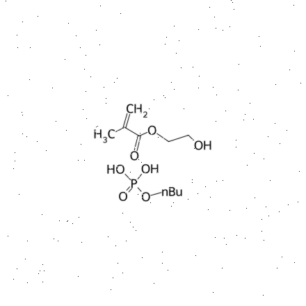 C=C(C)C(=O)OCCO.CCCCOP(=O)(O)O